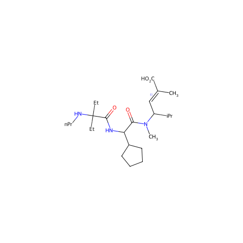 CCCNC(CC)(CC)C(=O)NC(C(=O)N(C)C(/C=C(\C)C(=O)O)C(C)C)C1CCCC1